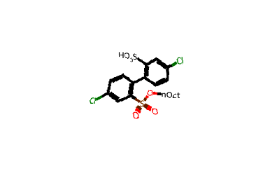 CCCCCCCCOS(=O)(=O)c1cc(Cl)ccc1-c1ccc(Cl)cc1S(=O)(=O)O